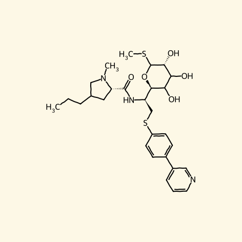 CCCC1C[C@@H](C(=O)N[C@H](CSc2ccc(-c3cccnc3)cc2)[C@H]2OC(SC)[C@H](O)C(O)C2O)N(C)C1